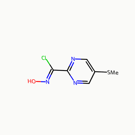 CSc1cnc(/C(Cl)=N/O)nc1